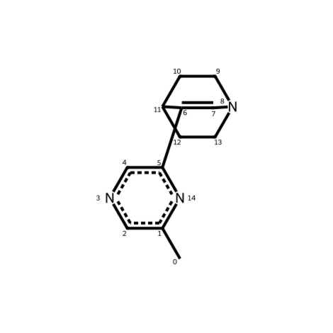 Cc1cncc(C2=CN3CCC2CC3)n1